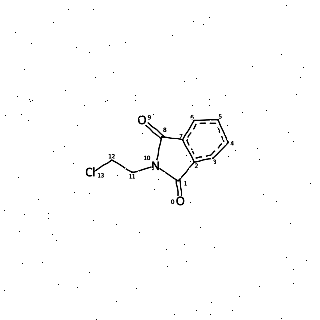 O=C1c2ccccc2C(=O)N1CCCl